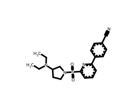 CCN(CC)C1CCN(S(=O)(=O)c2cccc(-c3ccc(C#N)cc3)n2)C1